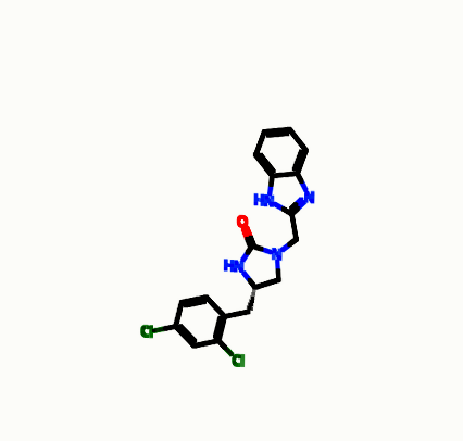 O=C1N[C@@H](Cc2ccc(Cl)cc2Cl)CN1Cc1nc2ccccc2[nH]1